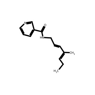 CCC=C(C)C=CCNC(=O)c1cccnc1